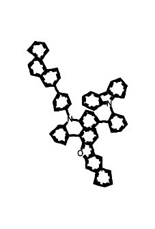 c1ccc(N(c2ccc(-c3ccc4c(ccc5ccccc54)c3)cc2)c2ccc(-c3ccccc3-n3c4ccccc4c4ccccc43)cc2)c(-c2cccc3c2oc2cc4ccccc4cc23)c1